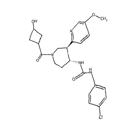 COc1ccc([C@@H]2CN(C(=O)C3CC(O)C3)CC[C@H]2NC(=O)Nc2ccc(Cl)cc2)nc1